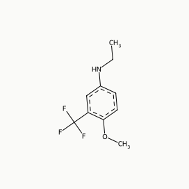 CCNc1ccc(OC)c(C(F)(F)F)c1